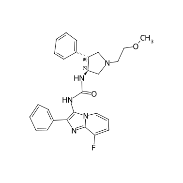 COCCN1C[C@@H](NC(=O)Nc2c(-c3ccccc3)nc3c(F)cccn23)[C@H](c2ccccc2)C1